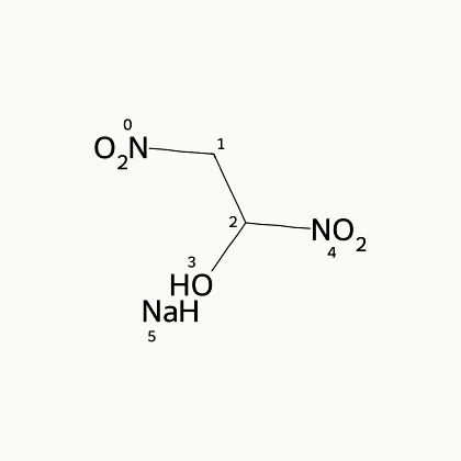 O=[N+]([O-])CC(O)[N+](=O)[O-].[NaH]